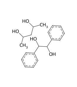 CC(O)CC(C)O.OC(c1ccccc1)C(O)c1ccccc1